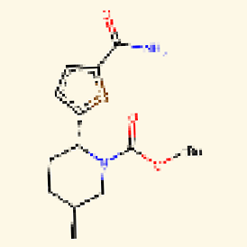 C[C@H]1CC[C@H](c2ccc(C(N)=O)s2)N(C(=O)OC(C)(C)C)C1